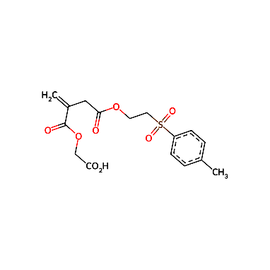 C=C(CC(=O)OCCS(=O)(=O)c1ccc(C)cc1)C(=O)OCC(=O)O